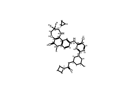 CC1CC(CC(=O)N2CCC2)CN(c2ncc(Cl)c(Nc3ccc4c(c3)c3c(c(=O)n4C)OCC(F)(F)[C@H](C4CC4)N3)n2)C1